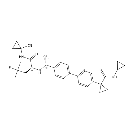 CC(C)(F)C[C@H](N[C@@H](c1ccc(-c2ccc(C3(C(=O)NC4CC4)CC3)cn2)cc1)C(F)(F)F)C(=O)NC1(C#N)CC1